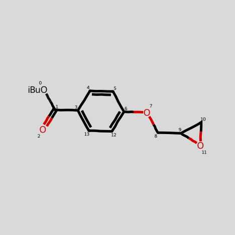 CC(C)COC(=O)c1ccc(OCC2CO2)cc1